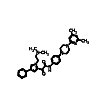 Cc1cc(C)nc(N2CCN(c3ccc(NC(=O)C(=O)c4cc(-c5ccccc5)cn4CCN(C)C)cc3)CC2)c1